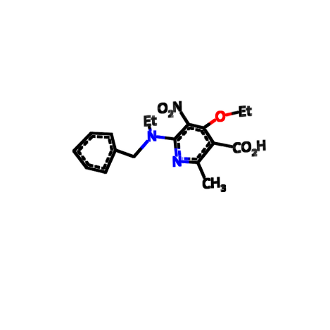 CCOc1c(C(=O)O)c(C)nc(N(CC)Cc2ccccc2)c1[N+](=O)[O-]